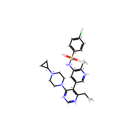 CCc1ncnc(N2CCN(C3CC3)CC2)c1-c1cnc(C)c(NS(=O)(=O)c2ccc(F)cc2)c1